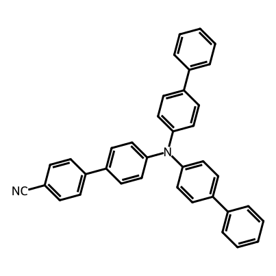 N#Cc1ccc(-c2ccc(N(c3ccc(-c4ccccc4)cc3)c3ccc(-c4ccccc4)cc3)cc2)cc1